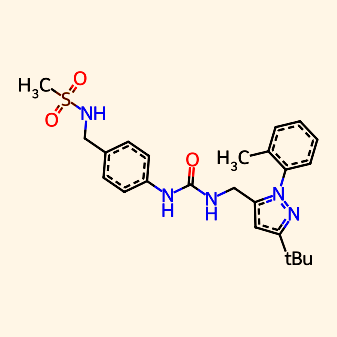 Cc1ccccc1-n1nc(C(C)(C)C)cc1CNC(=O)Nc1ccc(CNS(C)(=O)=O)cc1